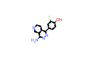 Nc1nnc(-c2ccc(O)c(F)c2)c2ccncc12